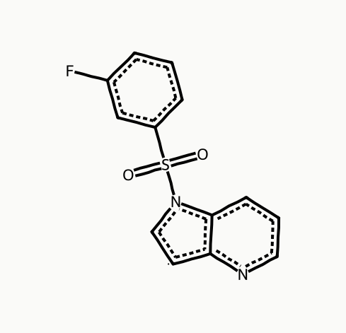 O=S(=O)(c1cccc(F)c1)n1c[c]c2ncccc21